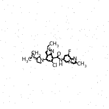 CCn1cc2c(N3CC[C@@H](N(C)C)C3)cc(Cl)c(C(=O)Nc3cc(F)c4nc(C)cn4c3)c2n1